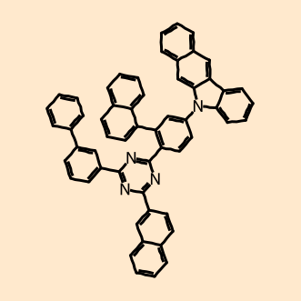 c1ccc(-c2cccc(-c3nc(-c4ccc5ccccc5c4)nc(-c4ccc(-n5c6ccccc6c6cc7ccccc7cc65)cc4-c4cccc5ccccc45)n3)c2)cc1